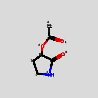 CCC(=O)OC1CCNC1=O